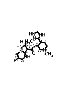 CN1CCC(C2NCNN2C)C(NC(=O)C2C(N)NN3CC(F)CNC23)C1